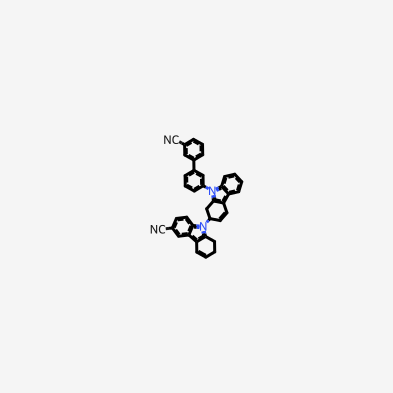 N#Cc1cccc(-c2cccc(-n3c4c(c5ccccc53)C=CC(n3c5c(c6cc(C#N)ccc63)C=CCC5)C4)c2)c1